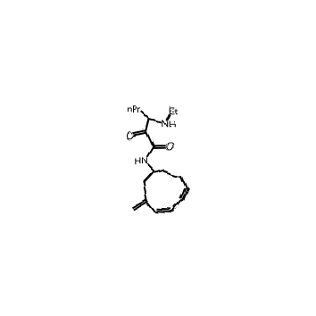 C=C1/C=C\C=C/CCC(NC(=O)C(=O)C(CCC)NCC)C1